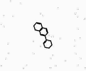 C1=Cc2ccc(C3=CCCCC3)cc2CC1